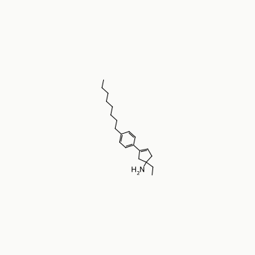 CCCCCCCCc1ccc(C2=CCC(N)(CC)C2)cc1